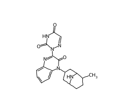 CC1CCC2CC(n3c(=O)c(-n4ncc(=O)[nH]c4=O)nc4ccccc43)CC1N2